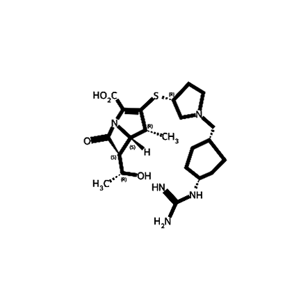 C[C@@H](O)[C@H]1C(=O)N2C(C(=O)O)=C(S[C@@H]3CCN(C[C@H]4CC[C@@H](NC(=N)N)CC4)C3)[C@H](C)[C@H]12